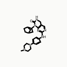 CN1CCN(c2ccc(Nc3ncc4c(n3)N(C3CC5CCC3C5)C(=O)NC4)cc2)CC1